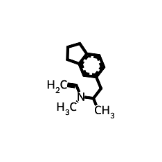 C=CN(C)C(C)Cc1ccc2c(c1)CCC2